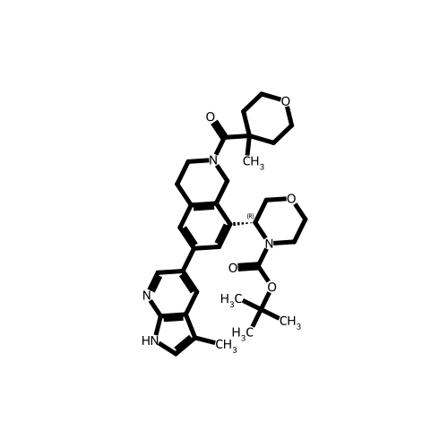 Cc1c[nH]c2ncc(-c3cc4c(c([C@@H]5COCCN5C(=O)OC(C)(C)C)c3)CN(C(=O)C3(C)CCOCC3)CC4)cc12